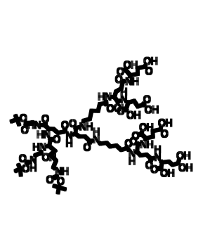 CC(C)(C)OC(=O)CNC(=O)C(CCC(=O)NC(CCC(=O)NCCCCCC(=O)NC(CCC(=O)NC(CCC(O)O)C(=O)O)C(=O)NC(CCC(=O)O)C(=O)O)C(=O)NCCCCCC(=O)NC(CCC(=O)NC(CCC(=O)O)C(=O)O)C(O)NC(CCC(=O)O)C(=O)O)NC(=O)C(CCCCNC(=O)OC(C)(C)C)NC(O)CNC(=O)OC(C)(C)C